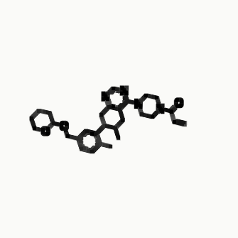 C=CC(=O)N1CCN(c2ncnc3c2CC(C)C(c2cc(COC4CCCCO4)ccc2C)C3)CC1